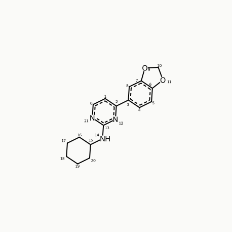 c1cc(-c2ccc3c(c2)OCO3)nc(NC2CCCCC2)n1